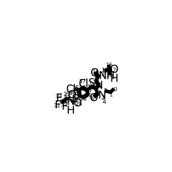 CCCN(C)C(=O)c1nc(C(=O)NCC(C)(C)O)sc1-c1ccc(S(=O)(=O)N[C@@H](C)C(F)(F)F)c(Cl)c1Cl